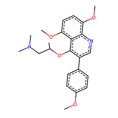 COc1ccc(-c2cnc3c(OC)ccc(OC)c3c2OC(C)CN(C)C)cc1